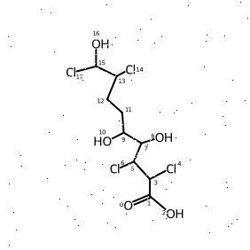 O=C(O)C(Cl)C(Cl)C(O)C(O)CCC(Cl)C(O)Cl